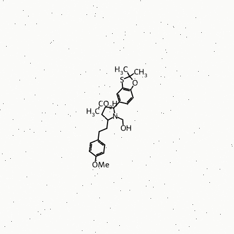 CC(=O)O.COc1ccc(CCC2CCC(c3ccc4c(c3)SC(C)(C)O4)N2CO)cc1